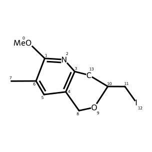 COc1nc2c(cc1C)COC(CI)C2